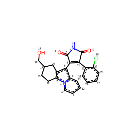 O=C1NC(=O)C(c2c3c(n4ccccc24)CCC(CO)C3)=C1c1ccccc1Cl